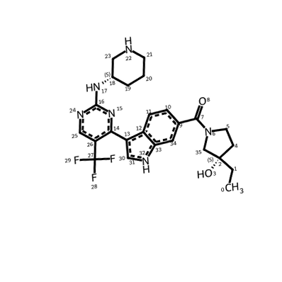 CC[C@]1(O)CCN(C(=O)c2ccc3c(-c4nc(N[C@H]5CCCNC5)ncc4C(F)(F)F)c[nH]c3c2)C1